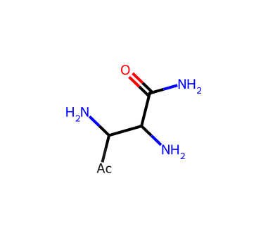 CC(=O)C(N)C(N)C(N)=O